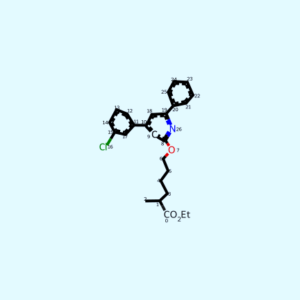 CCOC(=O)C(C)CCCCOc1cc(-c2cccc(Cl)c2)cc(-c2ccccc2)n1